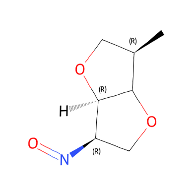 C[C@@H]1CO[C@H]2C1OC[C@H]2N=O